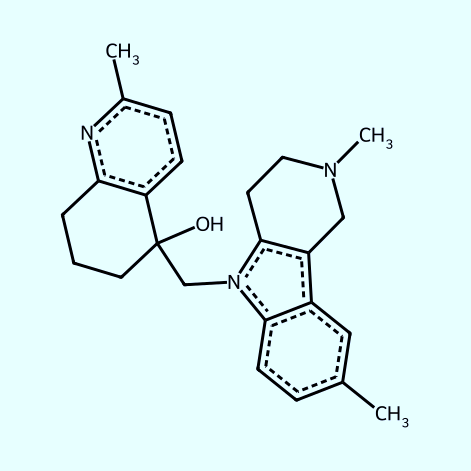 Cc1ccc2c(c1)c1c(n2CC2(O)CCCc3nc(C)ccc32)CCN(C)C1